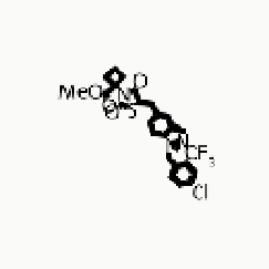 COC(=O)C1(N2C(=O)S/C(=C\c3ccc4c(cnn4Cc4ccc(Cl)cc4C(F)(F)F)c3)C2=O)CCC1